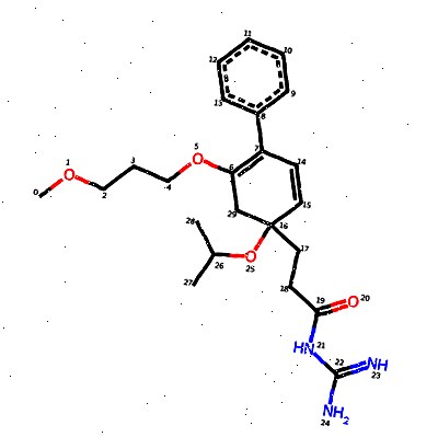 COCCCOC1=C(c2ccccc2)C=CC(CCC(=O)NC(=N)N)(OC(C)C)C1